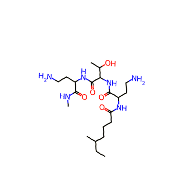 CCC(C)CCCC(=O)NC(CCN)C(=O)NC(C(=O)NC(CCN)C(=O)NC)C(C)O